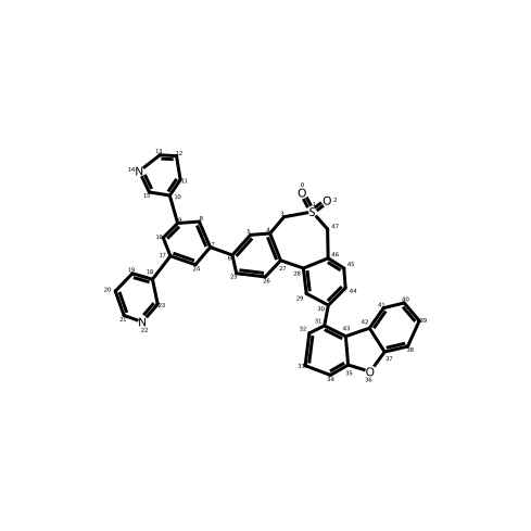 O=S1(=O)Cc2cc(-c3cc(-c4cccnc4)cc(-c4cccnc4)c3)ccc2-c2cc(-c3cccc4oc5ccccc5c34)ccc2C1